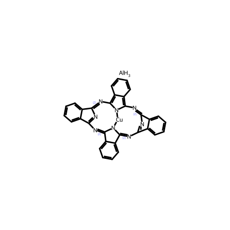 [AlH3].c1ccc2c(c1)C1=NC/2=N\c2c3ccccc3c3[n]2[Cu][n]2/c(c4ccccc4/c2=N/C2=N\C(=N/3)c3ccccc32)=N\1